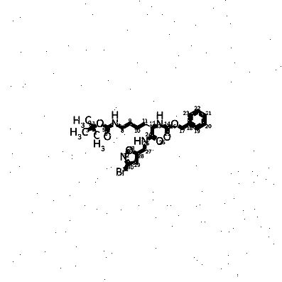 CC(C)(C)OC(=O)NCCCC[C@H](NC(=O)OCc1ccccc1)C(=O)NCC1CC(Br)=NO1